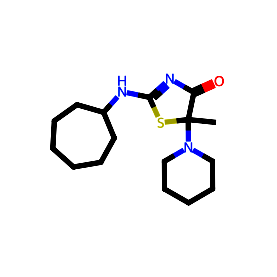 CC1(N2CCCCC2)SC(NC2CCCCCC2)=NC1=O